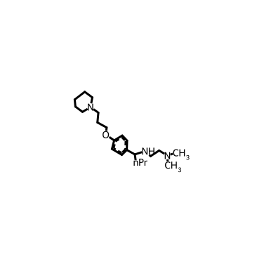 CCCC(NCCN(C)C)c1ccc(OCCCN2CCCCC2)cc1